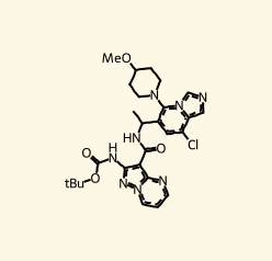 COC1CCN(c2c(C(C)NC(=O)c3c(NC(=O)OC(C)(C)C)nn4cccnc34)cc(Cl)c3cncn23)CC1